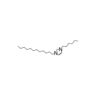 CCCCCCCCCCCCN1C=CN(CCCCCC)C1